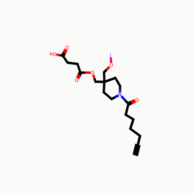 C#CCCCCC(=O)N1CCC(COI)(COC(=O)CCC(=O)O)CC1